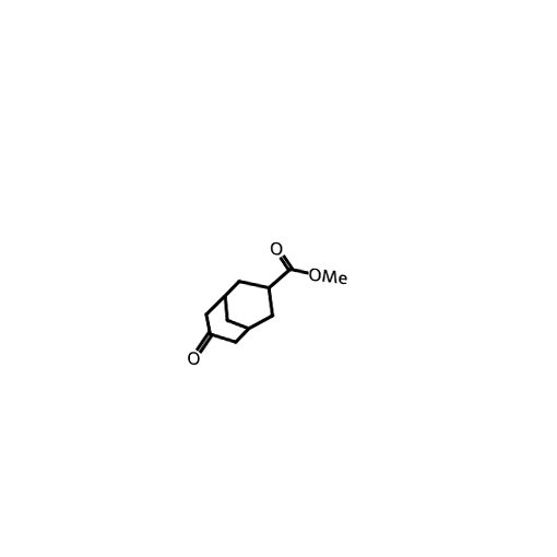 COC(=O)C1CC2CC(=O)CC(C2)C1